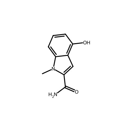 Cn1c(C(N)=O)cc2c(O)cccc21